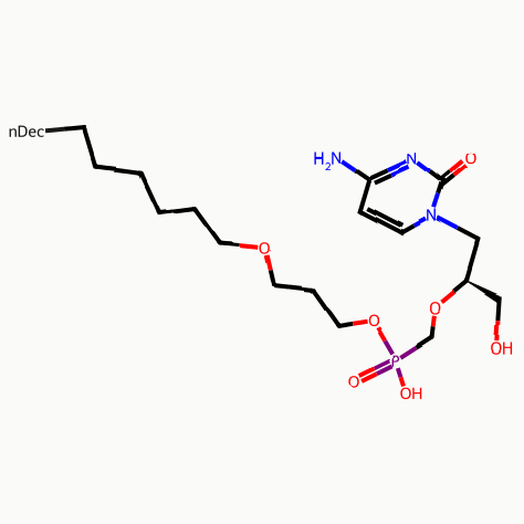 CCCCCCCCCCCCCCCCOCCCOP(=O)(O)CO[C@H](CO)Cn1ccc(N)nc1=O